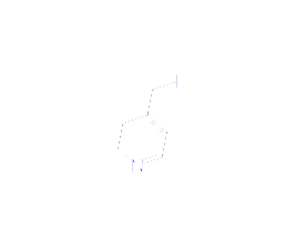 ICC1=CC=NCC1